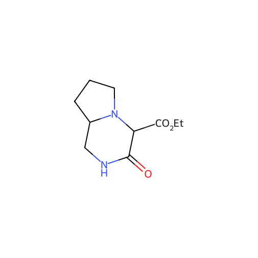 CCOC(=O)C1C(=O)NCC2CCCN21